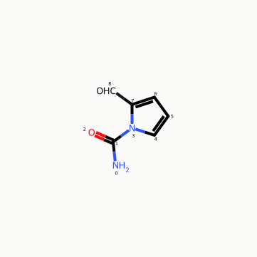 NC(=O)n1cccc1C=O